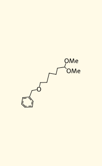 COC(CCCCCOCc1ccccc1)OC